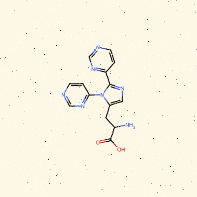 NC(Cc1cnc(-c2ccncn2)n1-c1ccncn1)C(=O)O